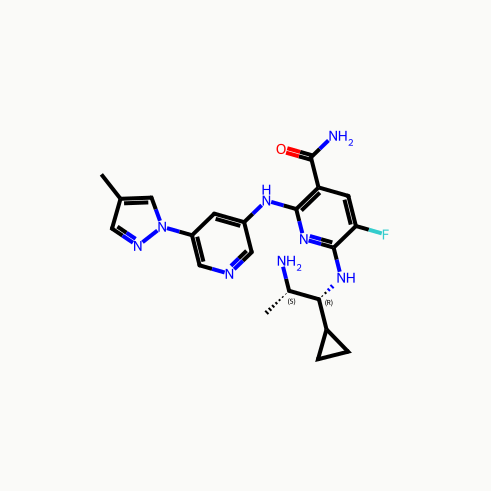 Cc1cnn(-c2cncc(Nc3nc(N[C@H](C4CC4)[C@H](C)N)c(F)cc3C(N)=O)c2)c1